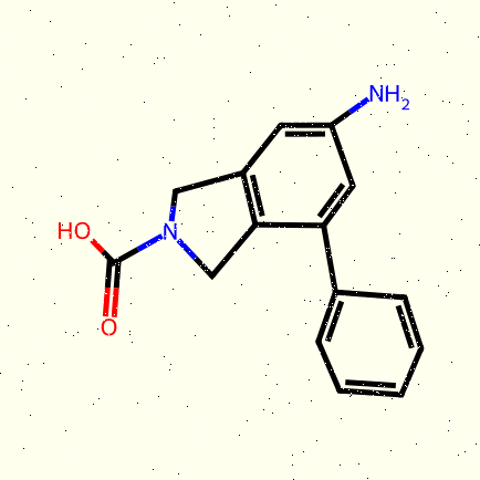 Nc1cc2c(c(-c3ccccc3)c1)CN(C(=O)O)C2